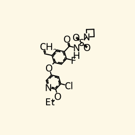 C=Cc1cc(C(=O)NS(=O)(=O)N2CCC2)c(F)cc1Oc1cnc(OCC)c(Cl)c1